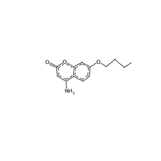 CCCCOc1ccc2c(N)cc(=O)oc2c1